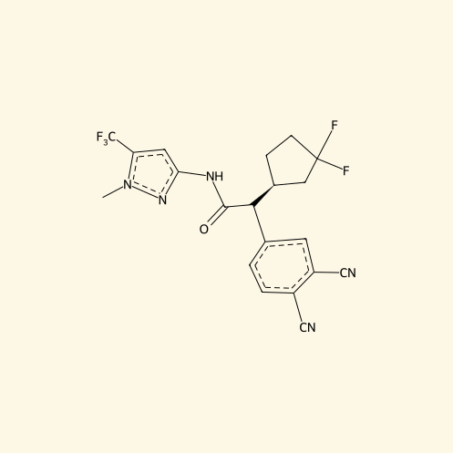 Cn1nc(NC(=O)C(c2ccc(C#N)c(C#N)c2)[C@H]2CCC(F)(F)C2)cc1C(F)(F)F